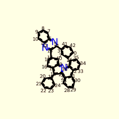 c1ccc(-c2nc3ccccc3nc2-c2ccc3c(-c4ccccc4)c4c5ccccc5c5ccccc5n4c3c2)cc1